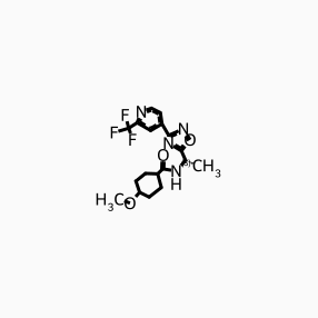 COC1CCC(C(=O)N[C@@H](C)c2nc(-c3ccnc(C(F)(F)F)c3)no2)CC1